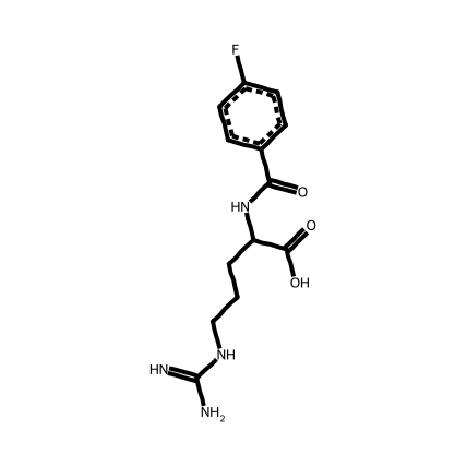 N=C(N)NCCCC(NC(=O)c1ccc(F)cc1)C(=O)O